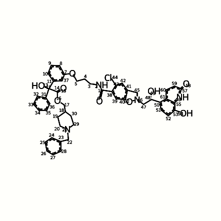 O=C(NCCCOc1cccc([C@](O)(C(=O)OCC2CCN(Cc3ccccc3)CC2)c2ccccc2)c1)c1cc2c(cc1Cl)CN(C[C@H](O)c1ccc(O)c3[nH]c(=O)ccc13)O2